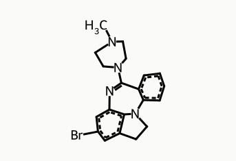 CN1CCN(C2=Nc3cc(Br)cc4c3N(CC4)c3ccccc32)CC1